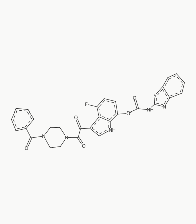 O=C(Nc1nc2ccccc2s1)Oc1ccc(F)c2c(C(=O)C(=O)N3CCN(C(=O)c4ccccc4)CC3)c[nH]c12